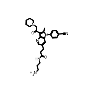 Cc1c(C(=O)CN2CCCCC2)c2ncc(CCC(=O)NCCCN)cc2n1-c1ccc(C#N)cc1